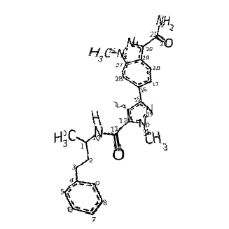 CC(CCc1ccccc1)NC(=O)c1cc(-c2ccc3c(C(N)=O)nn(C)c3c2)nn1C